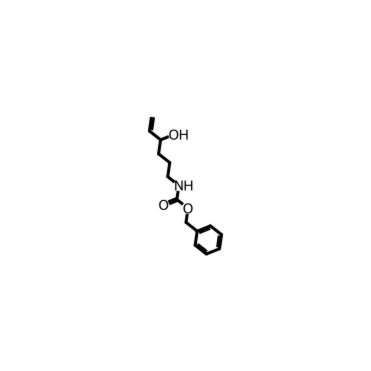 C=CC(O)CCCNC(=O)OCc1ccccc1